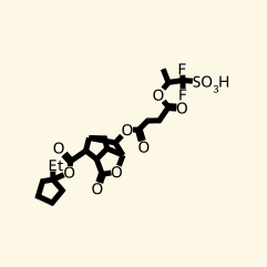 CCC1(OC(=O)C2C3CC4C(OC(=O)C42)C3OC(=O)CCC(=O)OC(C)C(F)(F)S(=O)(=O)O)CCCC1